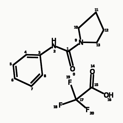 O=C(Nc1ccccc1)N1CCCC1.O=C(O)C(F)(F)F